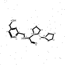 O=CC(NCc1cc(CO)ccn1)N1CCC[C@@H]1CN1CCCC1